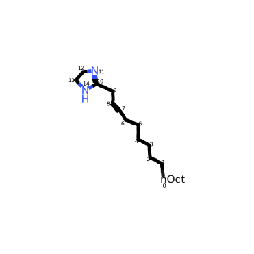 CCCCCCCCCCCCCCC=CCC1=NCCN1